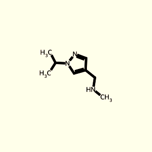 CNCc1cnn(C(C)C)c1